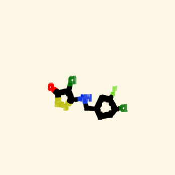 O=c1ssc(NCc2ccc(Cl)c(F)c2)c1Cl